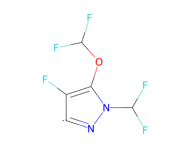 Fc1[c]nn(C(F)F)c1OC(F)F